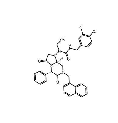 N#CCN(C(=O)NCc1ccc(Cl)c(Cl)c1)N1CC(=O)N2[C@@H](c3ccccc3)C(=O)N(Cc3cccc4ccccc34)C[C@@H]21